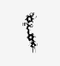 O=C(CCCc1ccc(CC2(F)CNC2)cc1)Nc1ccc(C(F)(F)F)cc1